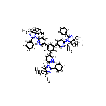 CC1(C)N=C(c2ccccc2)N(c2ccc(-c3cc(-c4ccc(N5C(c6ccccc6)=NC(C)(C)C5(C)C)nc4)cc(-c4ccc(N5C(c6ccccc6)=NC(C)(C)C5(C)C)nc4)c3)cn2)C1(C)C